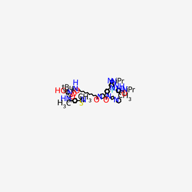 Cc1cc(F)c(Nc2nc(-c3ccc4c(c3)N([C@H]3C[C@@H](N5CCCCC5)C3)C(=O)C43CCN(C(=O)CCCCCCCCCON[C@H](C(=O)N4C[C@H](O)C[C@H]4C(=O)N[C@@H](C)c4ccc(-c5scnc5C)cc4)C(C)(C)C)CC3)cc3ncn(C(C)C)c23)cc1C(=O)NC(C)C